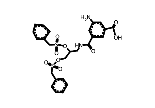 Nc1cc(C(=O)O)cc(C(=O)NCC(COS(=O)(=O)Cc2ccccc2)OS(=O)(=O)Cc2ccccc2)c1